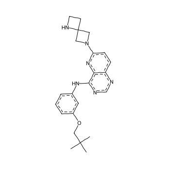 CC(C)(C)COc1cccc(Nc2ncnc3ccc(N4CC5(CCN5)C4)nc23)c1